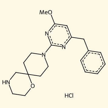 COc1cc(Cc2ccccc2)nc(N2CCC3(CC2)CNCCO3)n1.Cl